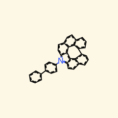 c1ccc(-c2ccc(-n3c4ccc5cccc6c5c4c4c5c(ccc7cccc-6c75)ccc43)cc2)cc1